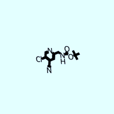 CC(C)(C)OC(=O)NCc1cc(C#N)c(Cl)cn1